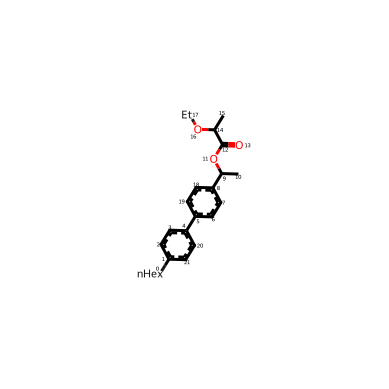 CCCCCCc1ccc(-c2ccc(C(C)OC(=O)C(C)OCC)cc2)cc1